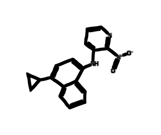 O=[N+]([O-])c1ncccc1Nc1ccc(C2CC2)c2ccccc12